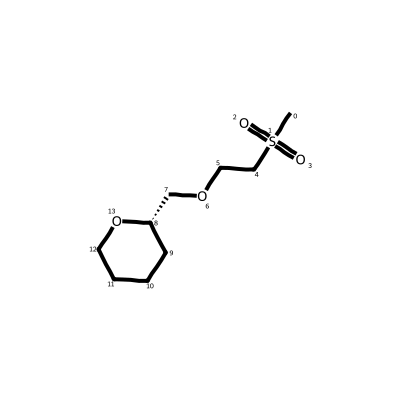 CS(=O)(=O)CCOC[C@@H]1CCCCO1